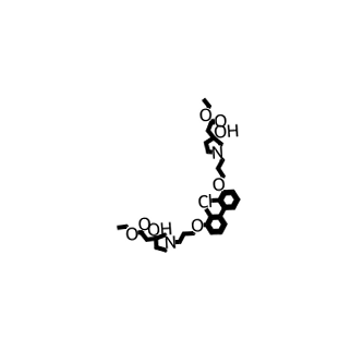 CCOC(=O)CC1(O)CCN(CCCOc2cccc(-c3cccc(OCCCN4CCC(O)(CC(=O)OCC)C4)c3Cl)c2C)C1